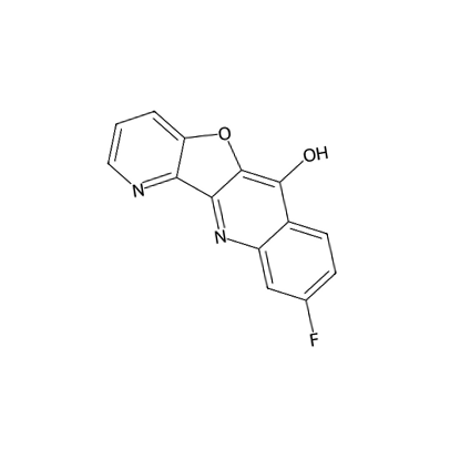 Oc1c2ccc(F)cc2nc2c1oc1cccnc12